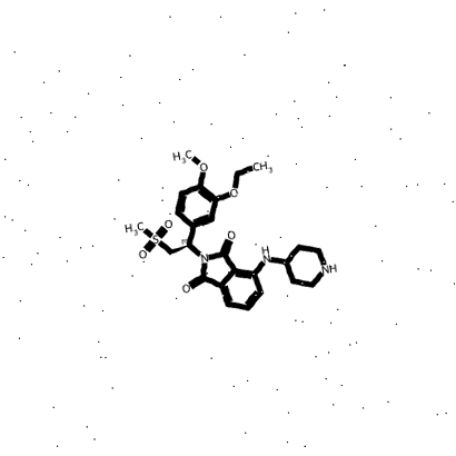 CCOc1cc([C@H](CS(C)(=O)=O)N2C(=O)c3cccc(NC4CCNCC4)c3C2=O)ccc1OC